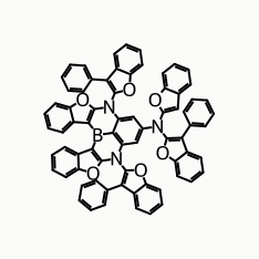 c1ccc(-c2c(N(c3cc4c5c(c3)N(c3oc6ccccc6c3-c3ccccc3)c3oc6ccccc6c3B5c3c(oc5ccccc35)N4c3oc4ccccc4c3-c3ccccc3)c3cc4ccccc4o3)oc3ccccc23)cc1